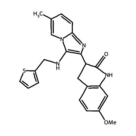 COc1ccc2c(c1)NC(=O)C(c1nc3ccc(C)cn3c1NCc1cccs1)C2